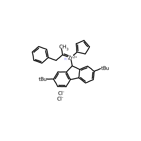 C/[C](Cc1ccccc1)=[Zr+2](\[C]1=CC=CC1)[CH]1c2cc(C(C)(C)C)ccc2-c2ccc(C(C)(C)C)cc21.[Cl-].[Cl-]